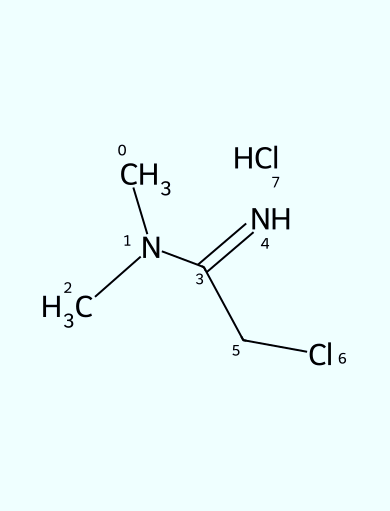 CN(C)C(=N)CCl.Cl